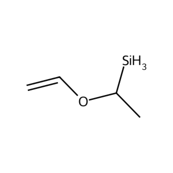 C=COC(C)[SiH3]